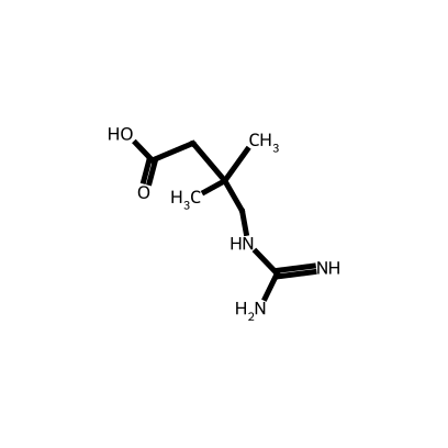 CC(C)(CNC(=N)N)CC(=O)O